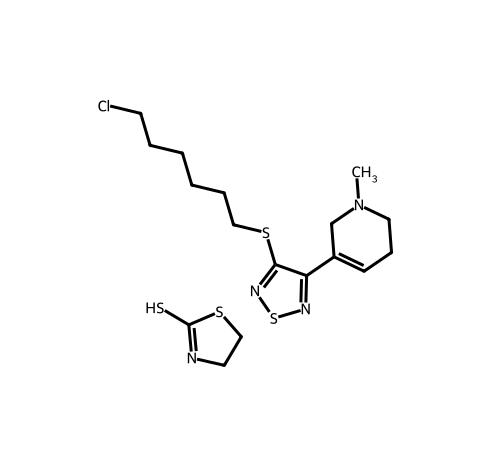 CN1CCC=C(c2nsnc2SCCCCCCCl)C1.SC1=NCCS1